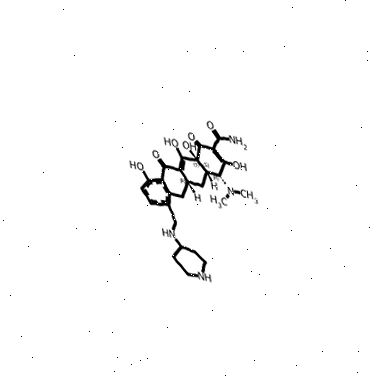 CN(C)[C@H]1C(O)=C(C(N)=O)C(=O)[C@@]2(O)C(O)=C3C(=O)c4c(O)ccc(CNC5CCNCC5)c4C[C@H]3C[C@@H]12